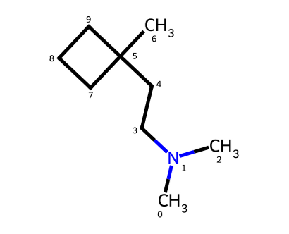 CN(C)CCC1(C)CCC1